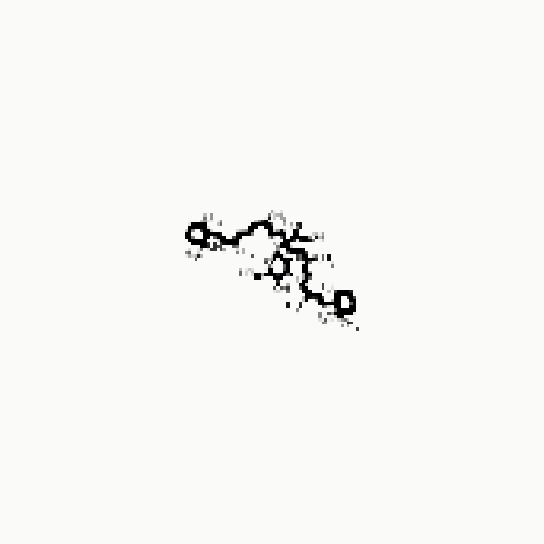 CC(C=CC1=C(C)CCCC1(C)C)=CC=CC(C)=CCC(CC=C(C)C=CC=C(C)C=CC1=C(C)CCCC1(C)C)(OC1O[C@H](CO)[C@@H](O)[C@H](O)[C@H]1O)C(O)CO